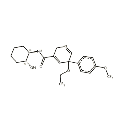 O=C(N[C@@H]1CCCC[C@H]1O)C1=CC(OCC(F)(F)F)(c2ccc(OC(F)(F)F)cc2)C=NC1